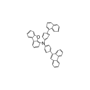 c1ccc2c(-c3ccc(N(c4ccc(-c5cc6ccccc6c6ccccc56)cc4)c4cccc5c4oc4ccccc45)cc3)cccc2c1